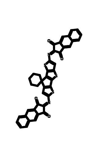 O=c1c(=Nc2cc3c(s2)-c2sc4cc(N=c5c(=O)c6cc7ccccc7cc6c5=O)sc4c2C32CCCCC2)c(=O)c2cc3ccccc3cc12